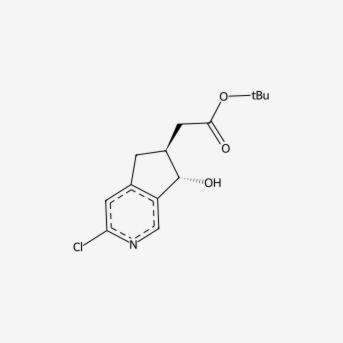 CC(C)(C)OC(=O)C[C@@H]1Cc2cc(Cl)ncc2[C@H]1O